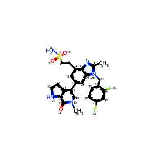 Cc1nc2c(CCS(N)(=O)=O)cc(-c3cn(C)c(=O)c4[nH]ccc34)cc2n1Cc1ccc(F)cc1F